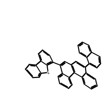 c1ccc2c(-c3cc4cc(-c5cccc6c5sc5ccccc56)c5ccccc5c4c4ccccc34)cccc2c1